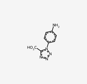 Nc1ccc(-n2nnnc2C(=O)O)cc1